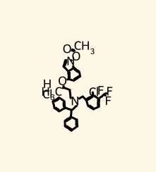 CC(=O)On1ccc2c(OC(C)CCN(Cc3cccc(C(F)(F)F)c3Cl)CC(c3ccccc3)c3ccccc3)cccc21.Cl